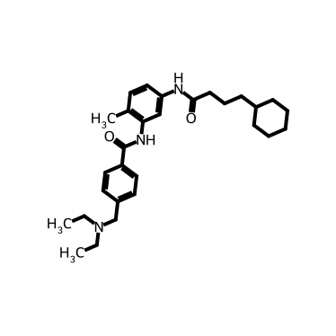 CCN(CC)Cc1ccc(C(=O)Nc2cc(NC(=O)CCCC3CCCCC3)ccc2C)cc1